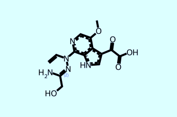 C=CN(/N=C(\N)CO)c1ncc(OC)c2c(C(=O)C(=O)O)c[nH]c12